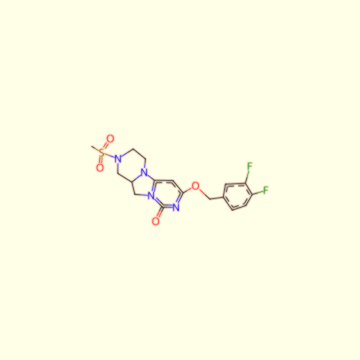 CS(=O)(=O)N1CCN2c3cc(OCc4ccc(F)c(F)c4)nc(=O)n3CC2C1